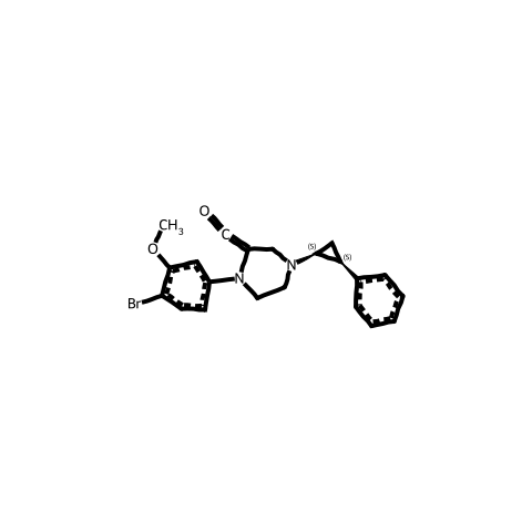 COc1cc(N2CCN([C@H]3C[C@H]3c3ccccc3)CC2=C=O)ccc1Br